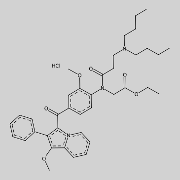 CCCCN(CCCC)CCC(=O)N(CC(=O)OCC)c1ccc(C(=O)c2c(-c3ccccc3)c(OC)c3ccccn23)cc1OC.Cl